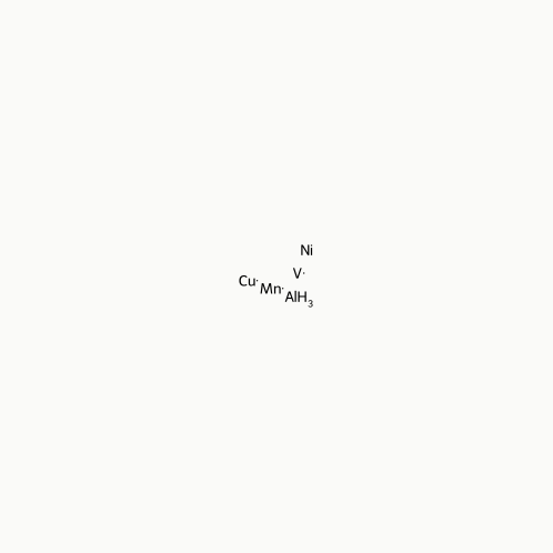 [AlH3].[Cu].[Mn].[Ni].[V]